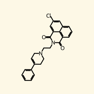 O=C1c2cccc3cc(Cl)cc(c23)C(=O)N1CCN1CC=C(c2ccccc2)CC1